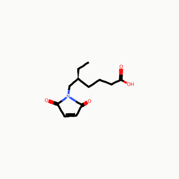 CC[C@@H](CCCC(=O)O)CN1C(=O)C=CC1=O